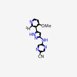 [2H]c1nccc(OC)c1-c1cc(Nc2cnc(C#N)cn2)n[nH]1